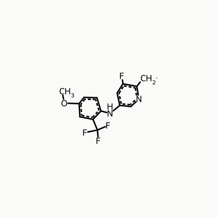 [CH2]c1ncc(Nc2ccc(OC)cc2C(F)(F)F)cc1F